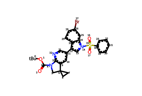 CC(C)(C)OC(=O)N1CC2(CC2)c2cc(-c3cn(S(=O)(=O)c4ccccc4)c4cc(Br)ccc34)cnc21